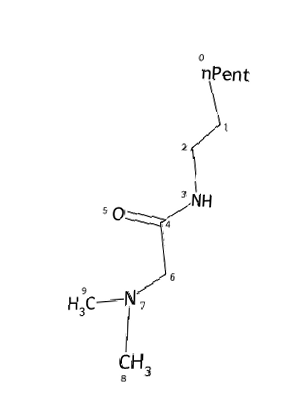 CCCCCCCNC(=O)CN(C)C